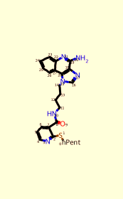 CCCCCSc1ncccc1C(=O)NCCCCn1cnc2c(N)nc3ccccc3c21